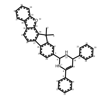 CC1(C)c2cc(C3NC(c4ccccc4)=CC(c4ccccc4)N3)ccc2-c2ccc3c(oc4ccccc43)c21